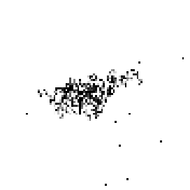 C=CCNC(=O)C(=O)C(CC1CCC1)NC(=O)[C@@H]1[C@H]2CCC3(CC3)[C@H]2CN1C(=O)[C@@H](NC(=O)N[C@H](CN(C)[S+](C)[O-])C(C)(C)C)C(C)(C)C